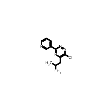 CC(C)Cc1nc(-c2cccnc2)nnc1Cl